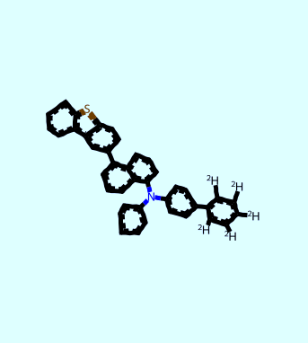 [2H]c1c([2H])c([2H])c(-c2ccc(N(c3ccccc3)c3cccc4c(-c5ccc6sc7ccccc7c6c5)cccc34)cc2)c([2H])c1[2H]